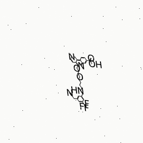 N#CCc1cc(CNCCCCOCCOc2nc3cc(C(=O)O)ccc3c3cnccc23)cc(C(F)(F)F)c1